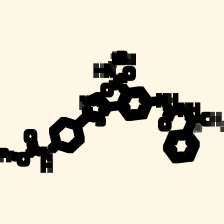 CC(C)OC(=O)NC1CCC(c2ncc(-c3ccc(NC(=O)N[C@@H](C)c4ccccc4)cc3S(=O)(=O)NC(C)(C)C)s2)CC1